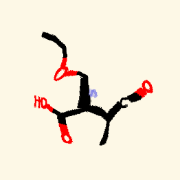 CCO/C=C(\C(=O)O)C(C)=C=O